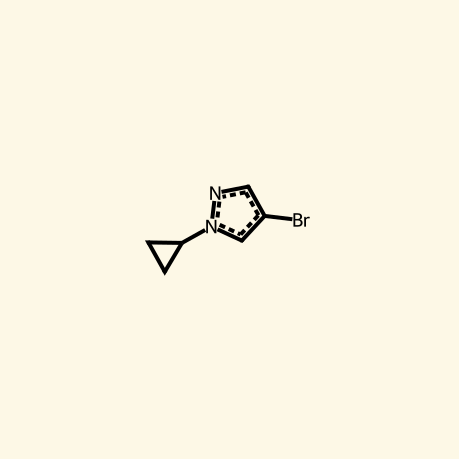 Brc1cnn(C2CC2)c1